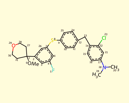 COC1(c2cc(F)cc(Sc3ccc(Cc4ccc(N(C)C)cc4Cl)cc3)c2)CCOCC1